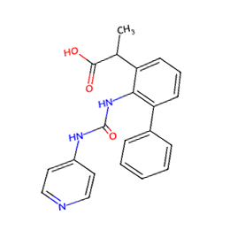 CC(C(=O)O)c1cccc(-c2ccccc2)c1NC(=O)Nc1ccncc1